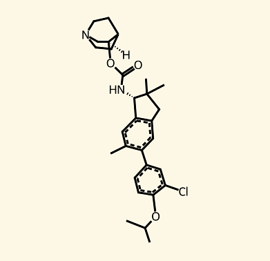 Cc1cc2c(cc1-c1ccc(OC(C)C)c(Cl)c1)CC(C)(C)[C@H]2NC(=O)O[C@H]1CN2CCC1CC2